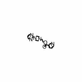 O=C(OCCN1CCN(c2ncccn2)CC1)c1cccnc1